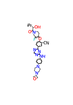 CC(C)C(O)C(=O)N1CC[C@H](Oc2ccc(-c3ncnc(Nc4ccc(N5CCN(C6COC6)CC5)cc4)n3)cc2C#N)[C@H](F)C1